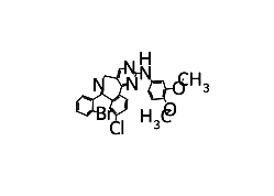 COc1ccc(Nc2ncc3c(n2)-c2ccc(Cl)cc2C(c2ccccc2Br)=NC3)cc1OC